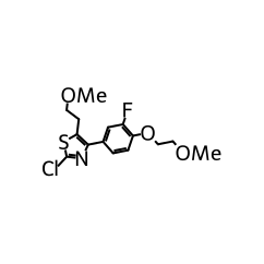 COCCOc1ccc(-c2nc(Cl)sc2CCOC)cc1F